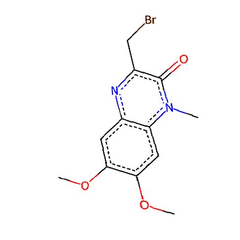 COc1cc2nc(CBr)c(=O)n(C)c2cc1OC